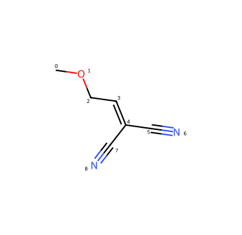 COCC=C(C#N)C#N